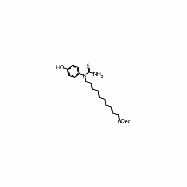 CCCCCCCCCCCCCCCCCCCCN(C(N)=S)c1ccc(O)cc1